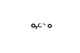 N#Cc1ccc2c(C3CCN(CC(=O)Nc4ccc(F)cc4)CC3)c[nH]c2c1